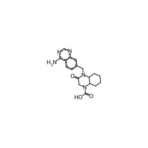 Nc1ncnc2cc(CN3C(=O)CN(C(=O)O)C4CCCCC43)ccc12